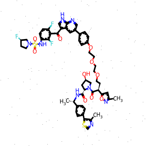 Cc1cc([C@H](CCOCCOCCOc2ccc(-c3cnc4[nH]cc(C(=O)c5c(F)ccc(NS(=O)(=O)N6CC[C@@H](F)C6)c5F)c4c3)cc2)C(=O)N2C[C@H](O)C[C@H]2C(=O)N[C@@H](C)c2ccc(-c3scnc3C)cc2)on1